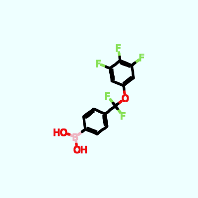 OB(O)c1ccc(C(F)(F)Oc2cc(F)c(F)c(F)c2)cc1